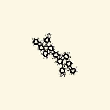 CC(C)c1ccc(N(c2cccc3c2oc2ccccc23)c2ccc3c4cc5c(cc4n4c6ccccc6c2c34)c2ccc(N(c3ccc(C(C)C)cc3)c3cccc4c3oc3ccccc34)c3c4ccccc4n5c23)cc1